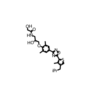 Cc1cc(-c2noc(-c3scc(CC(C)C)c3C)n2)cc(C)c1OC[C@@H](O)CNC(=O)CO